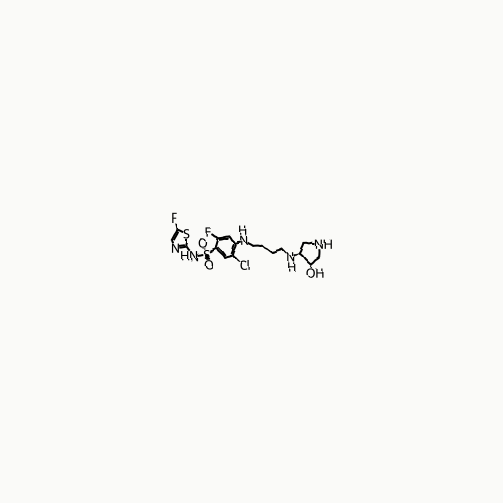 O=S(=O)(Nc1ncc(F)s1)c1cc(Cl)c(NCCCCN[C@H]2CNC[C@@H]2O)cc1F